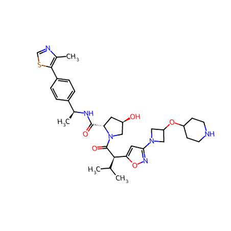 Cc1ncsc1-c1ccc([C@H](C)NC(=O)[C@@H]2C[C@@H](O)CN2C(=O)[C@@H](c2cc(N3CC(OC4CCNCC4)C3)no2)C(C)C)cc1